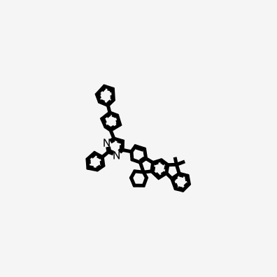 CC1(C)c2ccccc2-c2cc3c(cc21)C1=C(CC(c2cc(-c4ccc(-c5ccccc5)cc4)nc(-c4ccccc4)n2)C=C1)C31CCCCC1